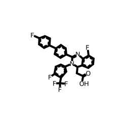 O=C(O)CC1c2cccc(F)c2N=C(c2ccc(-c3ccc(F)cc3)cc2)N1c1ccc(F)c(C(F)(F)F)c1